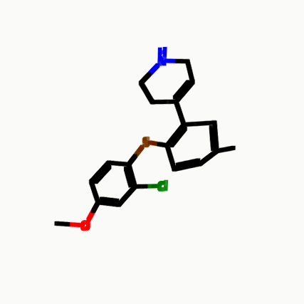 COc1ccc(Sc2ccc(C)cc2C2=CCNCC2)c(Cl)c1